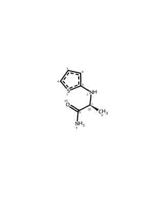 C[C@H](Nc1cccs1)C(N)=O